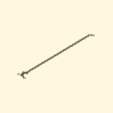 COCCOCCOCCOCCOCCOCCOCCOCCOCCOCCOCCOCCOCCOCCOCCOCCOCCOCCOCCOCCOCCOCCOCCOCCOCCOCCOCCOCCOCCOCCOCCOCCOCCOCCOCCOCCOCCOCCOCCOCCOC(=O)c1ccc(C(=O)OCC(C)OC(=O)c2ccc(C(C)=O)cc2)cc1